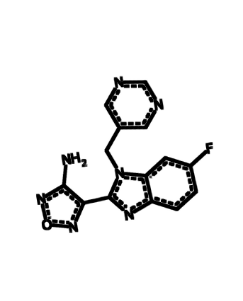 Nc1nonc1-c1nc2ccc(F)cc2n1Cc1cncnc1